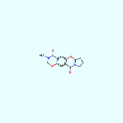 CN1COc2cc3c(cc2C1=O)OC1CCCN1C3=O